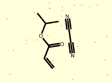 C=CC(=O)OC(C)C.N#CC#N